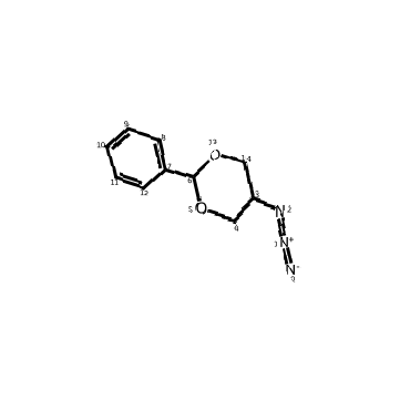 [N-]=[N+]=NC1COC(c2ccccc2)OC1